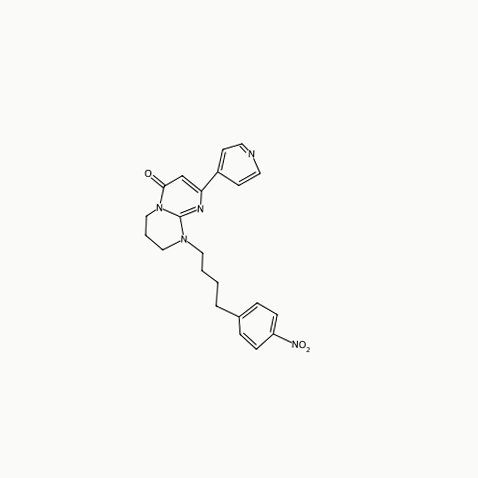 O=c1cc(-c2ccncc2)nc2n1CCCN2CCCCc1ccc([N+](=O)[O-])cc1